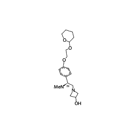 CN[C@H](CN1CC(O)C1)c1ccc(OCCOC2CCCCO2)cc1